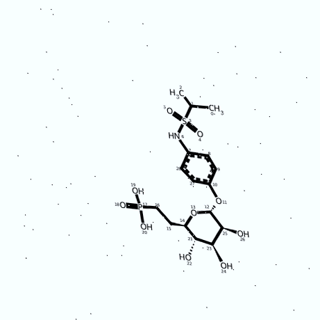 CC(C)S(=O)(=O)Nc1ccc(O[C@H]2O[C@H](CCP(=O)(O)O)[C@@H](O)[C@H](O)[C@@H]2O)cc1